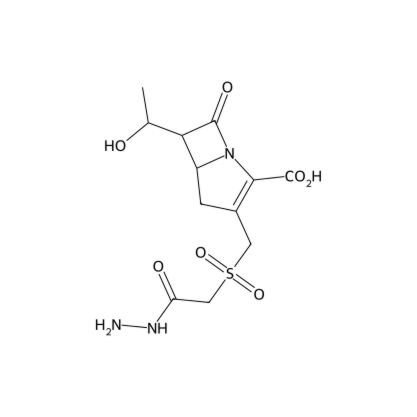 CC(O)C1C(=O)N2C(C(=O)O)=C(CS(=O)(=O)CC(=O)NN)CC12